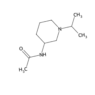 CC(=O)NC1CCCN(C(C)C)C1